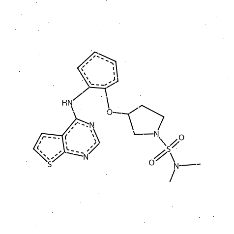 CN(C)S(=O)(=O)N1CCC(Oc2ccccc2Nc2ncnc3sccc23)C1